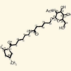 CC[C@@H]1C[C@@H](C)CN1C(=O)CCCCCNC(=O)CCCCO[C@@H]1OC(CO)[C@H](O)C(O)C1NC(C)=O